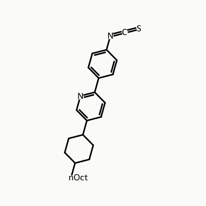 CCCCCCCCC1CCC(c2ccc(-c3ccc(N=C=S)cc3)nc2)CC1